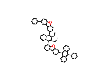 C=CC1=C(c2ccc3oc4ccc(-c5ccccc5)cc4c3c2)C2C=CC=CC2C(c2cccc3c2oc2cc(-c4c5ccccc5c(-c5ccccc5)c5ccccc45)ccc23)=C1/C=C\C